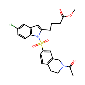 COC(=O)CCCc1cc2cc(Cl)ccc2n1S(=O)(=O)c1ccc2c(c1)CN(C(C)=O)CC2